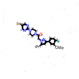 COc1cc(-c2cc(C(C)C)n(CC(=O)N3CCN(c4ncc(Br)cn4)CC3)n2)ccc1F